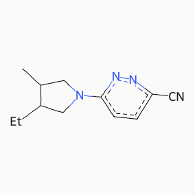 CCC1CN(c2ccc(C#N)nn2)CC1C